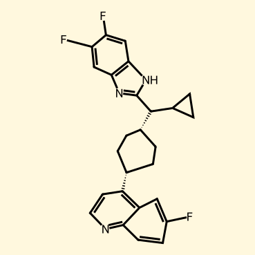 Fc1ccc2nccc([C@H]3CC[C@@H](C(c4nc5cc(F)c(F)cc5[nH]4)C4CC4)CC3)c2c1